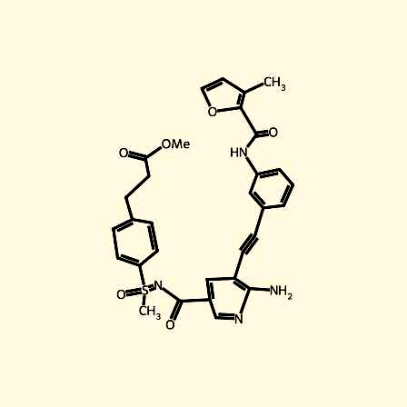 COC(=O)CCc1ccc(S(C)(=O)=NC(=O)c2cnc(N)c(C#Cc3cccc(NC(=O)c4occc4C)c3)c2)cc1